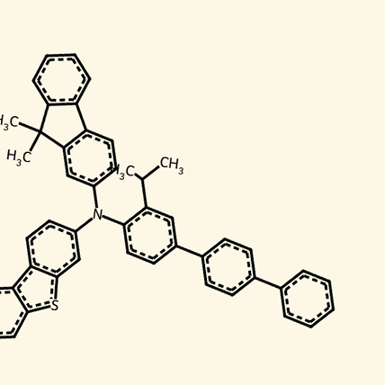 CC(C)c1cc(-c2ccc(-c3ccccc3)cc2)ccc1N(c1ccc2c(c1)C(C)(C)c1ccccc1-2)c1ccc2c(c1)sc1ccccc12